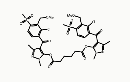 COCc1c(S(C)(=O)=O)ccc(C(=O)c2c(C)nn(C)c2OC(=O)CCCCC(=O)Oc2c(C(=O)c3ccc(S(C)(=O)=O)c(COC)c3Cl)c(C)nn2C)c1Cl